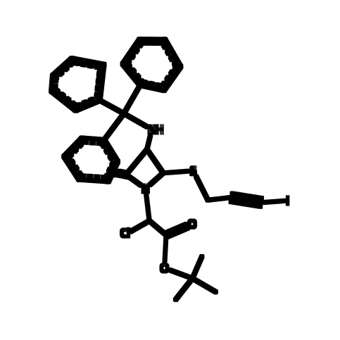 CC(C)(C)OC(=O)C(Cl)N1C(=O)C(NC(c2ccccc2)(c2ccccc2)c2ccccc2)C1SCC#CI